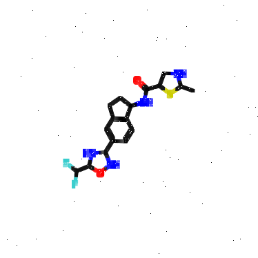 CC1NCC(C(=O)N[C@@H]2CCc3cc(C4NOC(C(F)F)N4)ccc32)S1